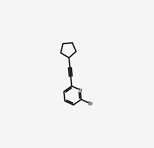 Brc1cccc(C#CC2CCCC2)n1